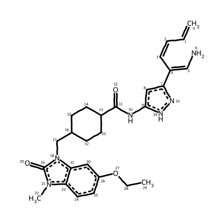 C=C/C=C\C(=C/N)c1cc(NC(=O)C2CCC(Cn3c(=O)n(C)c4ccc(OCC)cc43)CC2)[nH]n1